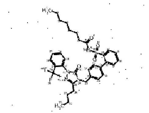 CCCCCCCC(=O)NS(=O)(=O)c1ccccc1-c1ccc(Cn2c(CCCC)nn(-c3ccccc3C(F)(F)F)c2=O)cc1